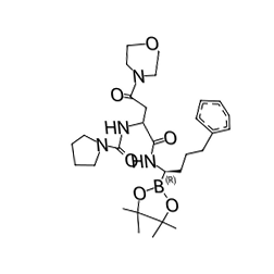 CC1(C)OB([C@H](CCCc2ccccc2)NC(=O)C(CC(=O)N2CCOCC2)NC(=O)N2CCCC2)OC1(C)C